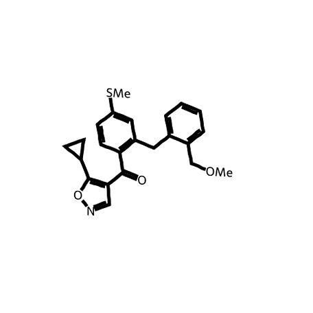 COCc1ccccc1Cc1cc(SC)ccc1C(=O)c1cnoc1C1CC1